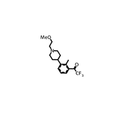 COCCN1CCC(c2cccc(C(=O)C(F)(F)F)c2C)CC1